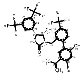 C=C(C)c1cc(-c2ccc(C(F)(F)F)cc2CN2C(=O)O[C@H](c3cc(C(F)(F)F)cc(C(F)(F)F)c3)[C@@H]2C)c(O)cc1F